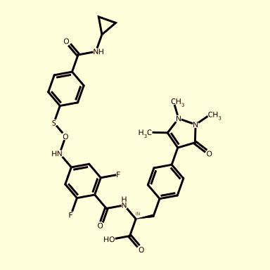 Cc1c(-c2ccc(C[C@H](NC(=O)c3c(F)cc(NOSc4ccc(C(=O)NC5CC5)cc4)cc3F)C(=O)O)cc2)c(=O)n(C)n1C